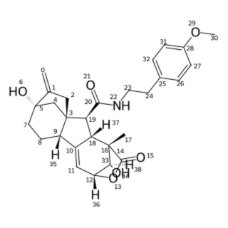 C=C1C[C@]23C[C@@]1(O)CC[C@H]2C1=C[C@H]2OC(=O)[C@@](C)([C@H]1[C@@H]3C(=O)NCCc1ccc(OC)cc1)[C@H]2O